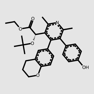 CCOC(=O)[C@@H](OC(C)(C)C)c1c(C)nc(C)c(-c2ccc(O)cc2)c1-c1ccc2c(c1)CCCO2